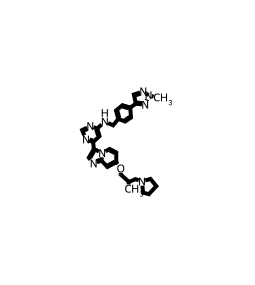 CC(COc1ccn2c(-c3cc(NCc4ccc(-c5cnn(C)n5)cc4)ncn3)cnc2c1)CN1CCCC1